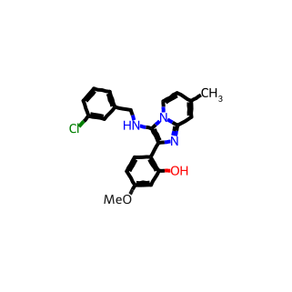 COc1ccc(-c2nc3cc(C)ccn3c2NCc2cccc(Cl)c2)c(O)c1